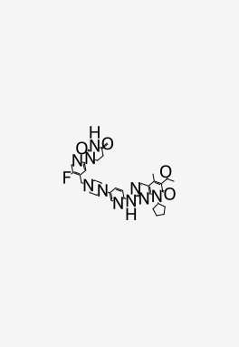 CC(=O)c1c(C)c2cnc(Nc3ccc(N4CCN(Cc5cc(N6CCC(=O)NC6=O)ncc5F)CC4)cn3)nc2n(C2CCCC2)c1=O